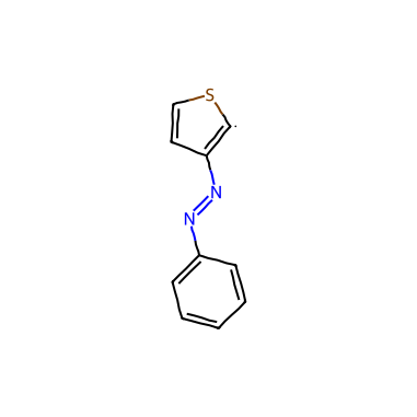 [c]1sccc1/N=N/c1ccccc1